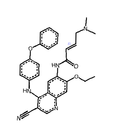 CCOc1cc2ncc(C#N)c(Nc3ccc(Oc4ccccc4)cc3)c2cc1NC(=O)/C=C/CN(C)C